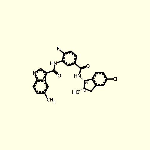 Cc1ccc2ncc(C(=O)Nc3cc(C(=O)N[C@@H]4c5ccc(Cl)cc5C[C@@H]4O)ccc3F)n2c1